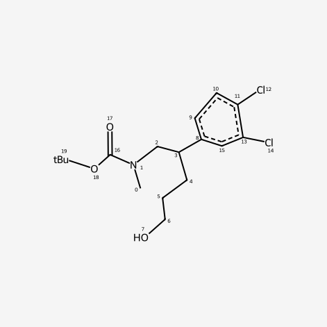 CN(CC(CCCO)c1ccc(Cl)c(Cl)c1)C(=O)OC(C)(C)C